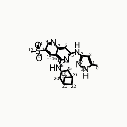 Cc1cc(Nc2cc3ncc(S(C)(=O)=O)cc3c(NC3CC4CC(C4)C3)n2)n[nH]1